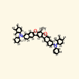 Cc1ccc(N(c2ccccc2)c2ccc3cc4c(cc3c2)oc2c(C(C)C)c3oc5cc6cc(N(c7ccccc7)c7ccc(C)c(C)c7C)ccc6cc5c3cc24)c(C)c1C